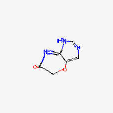 O=C1COC2=CN=CNC2=N1